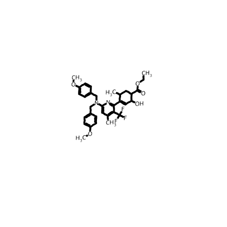 CCOC(=O)C1CC(C)C(c2nc(N(Cc3ccc(OC)cc3)Cc3ccc(OC)cc3)cc(C)c2C(F)(F)F)=CC1O